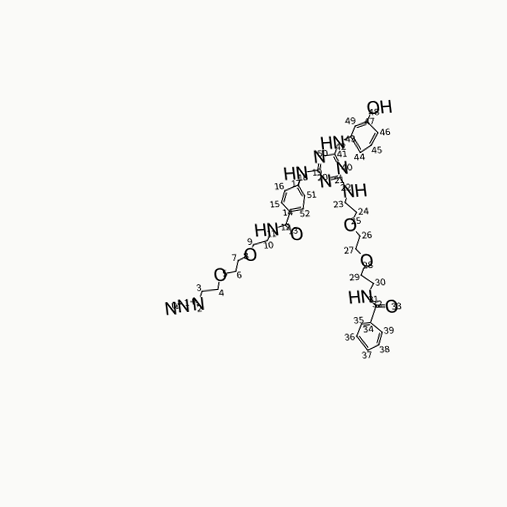 [N-]=[N+]=NCCOCCOCCNC(=O)c1ccc(Nc2nc(NCCOCCOCCNC(=O)c3ccccc3)nc(Nc3cccc(O)c3)n2)cc1